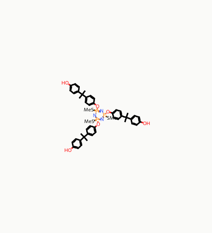 CSP1(Oc2ccc(C(C)(C)c3ccc(O)cc3)cc2)=NP(Oc2ccc(C(C)(C)c3ccc(O)cc3)cc2)(SC)=NP(Oc2ccc(C(C)(C)c3ccc(O)cc3)cc2)(SC)=N1